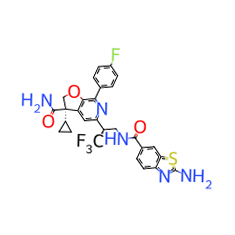 NC(=O)[C@@]1(C2CC2)COc2c1cc([C@@H](CNC(=O)c1ccc3nc(N)sc3c1)C(F)(F)F)nc2-c1ccc(F)cc1